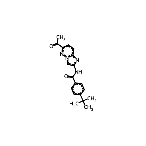 CC(=O)c1ccc2nc(NC(=O)c3ccc(C(C)(C)C)cc3)cn2n1